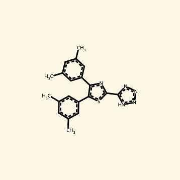 Cc1cc(C)cc(-c2nc(-c3nnn[nH]3)sc2-c2cc(C)cc(C)c2)c1